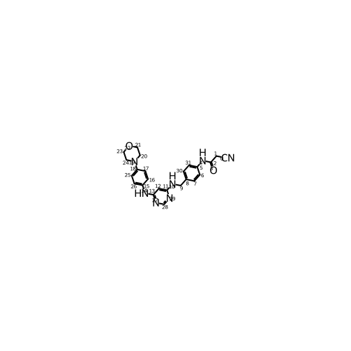 N#CCC(=O)Nc1ccc(CNc2cc(Nc3ccc(N4CCOCC4)cc3)ncn2)cc1